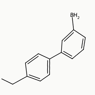 Bc1cccc(-c2ccc(CC)cc2)c1